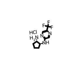 Cl.N[C@H]1CCC[C@@H]1Nc1cnc(C(F)(F)F)cn1